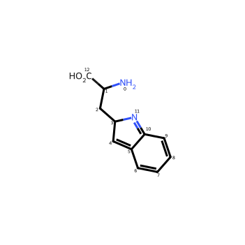 NC(CC1C=c2ccccc2=N1)C(=O)O